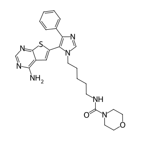 Nc1ncnc2sc(-c3c(-c4ccccc4)ncn3CCCCCNC(=O)N3CCOCC3)cc12